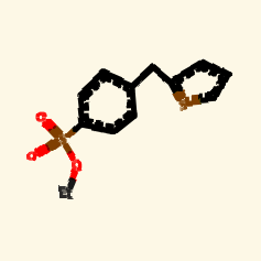 CCOS(=O)(=O)c1ccc(Cc2cccs2)cc1